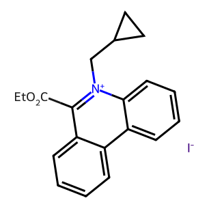 CCOC(=O)c1c2ccccc2c2ccccc2[n+]1CC1CC1.[I-]